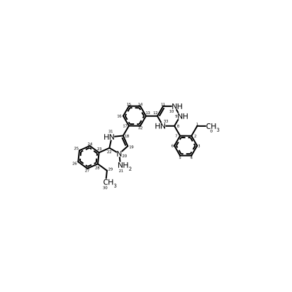 CCc1ccccc1C1NNC=C(c2cccc(C3=CN(N)C(c4ccccc4CC)N3)c2)N1